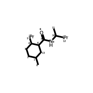 CC1CCC(C(C)C)C(C(=O)NC(C)C(C)C)C1